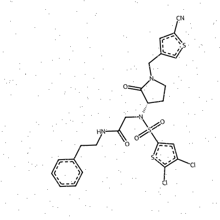 N#Cc1cc(CN2CC[C@H](N(CC(=O)NCCc3ccccc3)S(=O)(=O)c3cc(Cl)c(Cl)s3)C2=O)cs1